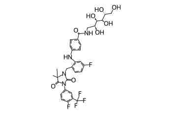 CC1(C)C(=O)N(c2ccc(F)c(C(F)(F)F)c2)C(=O)N1Cc1ccc(F)cc1Nc1ccc(C(=O)NC[C@H](O)[C@@H](O)[C@H](O)[C@H](O)CO)cc1